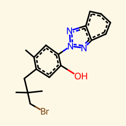 Cc1cc(-n2nc3ccccc3n2)c(O)cc1CC(C)(C)CBr